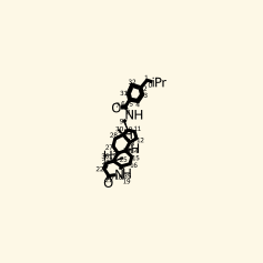 CC(C)Cc1ccc(C(=O)NC[C@H]2CC[C@H]3[C@@H]4CC[C@H]5N(C)C(=O)C=C[C@]5(C)[C@H]4CC[C@]23C)cc1